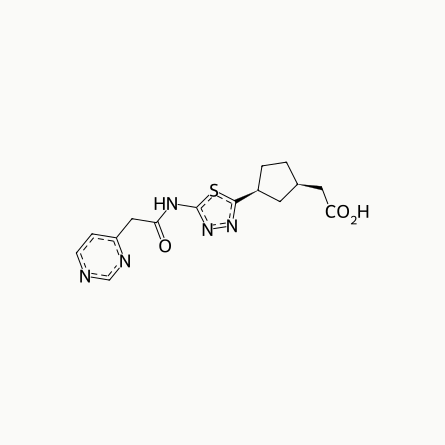 O=C(O)C[C@@H]1CC[C@H](c2nnc(NC(=O)Cc3ccncn3)s2)C1